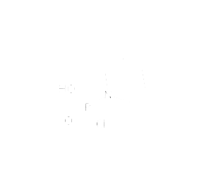 O=P(O)(Cl)N1CCCCC1